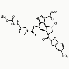 COC(=O)c1c[nH]c2c(OC(=O)N(C)CC(=O)NNC(=O)OC(C)(C)C)cc3c(c12)[C@H](Cl)CN3C(=O)c1cc2cc([N+](=O)[O-])ccc2o1